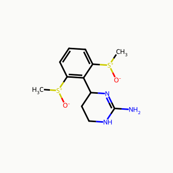 C[S+]([O-])c1cccc([S+](C)[O-])c1C1CCNC(N)=N1